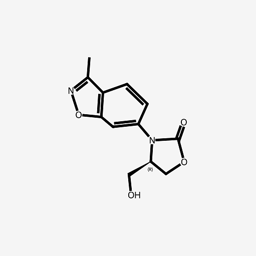 Cc1noc2cc(N3C(=O)OC[C@H]3CO)ccc12